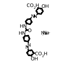 O=C(Nc1ccc(N=Nc2ccc(O)c(C(=O)O)c2)cc1)Nc1ccc(N=Nc2ccc(O)c(C(=O)O)c2)cc1.[Na].[Na]